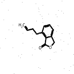 C=CCCc1cccc2c1C(=O)OC2